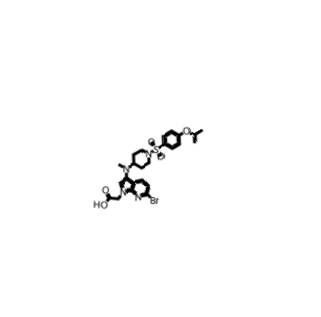 CC(C)Oc1ccc(S(=O)(=O)N2CCC(N(C)c3cn(CC(=O)O)c4nc(Br)ccc34)CC2)cc1